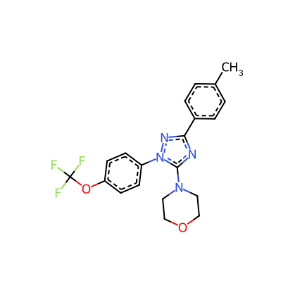 Cc1ccc(-c2nc(N3CCOCC3)n(-c3ccc(OC(F)(F)F)cc3)n2)cc1